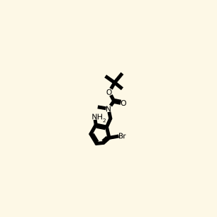 CN(Cc1c(N)cccc1Br)C(=O)OC(C)(C)C